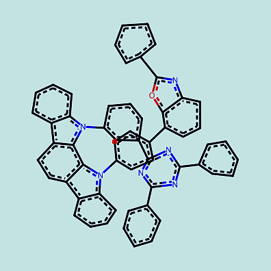 c1ccc(-c2nc(-c3ccccc3)nc(-c3cccc(-n4c5ccccc5c5ccc6c7ccccc7n(-c7ccc(-c8cccc9nc(-c%10ccccc%10)oc89)cc7)c6c54)c3)n2)cc1